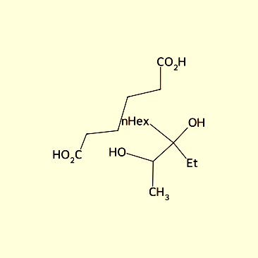 CCCCCCC(O)(CC)C(C)O.O=C(O)CCCCC(=O)O